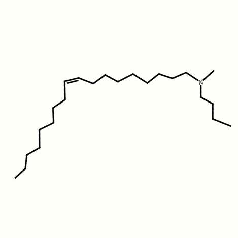 CCCCCCCC/C=C\CCCCCCCCN(C)CCCC